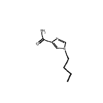 CCCCn1cnc(C(N)=O)c1